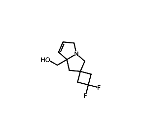 OCC12C=CCN1CC1(CC(F)(F)C1)C2